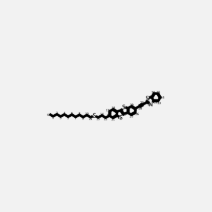 CCCCCCCCCCCCSCCCc1ccc2c(c1)sc1c3ccc(C#Cc4nc5ccccc5s4)cc3sc21